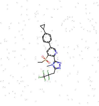 CCS(=O)(=O)c1cc(-c2ccc(C3CC3)cc2)cnc1-c1nnc(CC(F)(F)C(F)(F)F)n1C